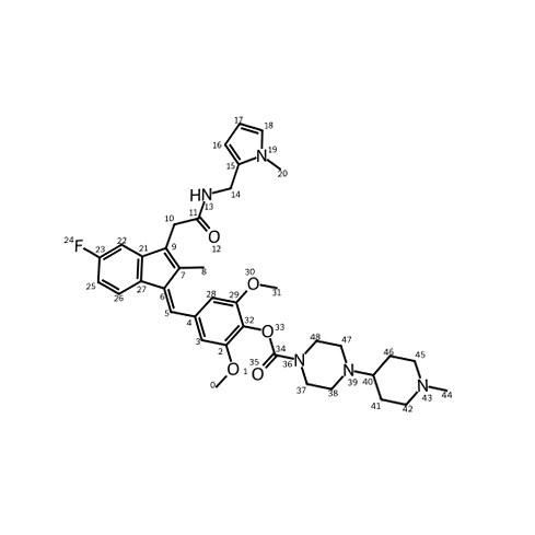 COc1cc(C=C2C(C)=C(CC(=O)NCc3cccn3C)c3cc(F)ccc32)cc(OC)c1OC(=O)N1CCN(C2CCN(C)CC2)CC1